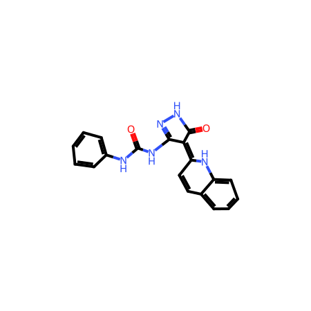 O=C(NC1=NNC(=O)C1=C1C=Cc2ccccc2N1)Nc1ccccc1